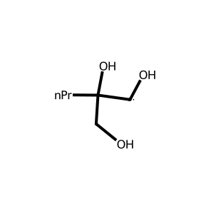 CCCC(O)([CH]O)CO